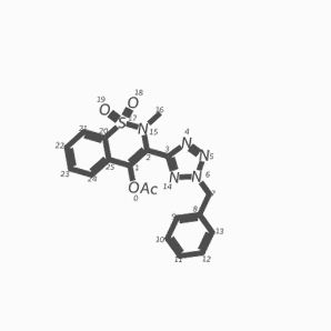 CC(=O)OC1=C(c2nnn(Cc3ccccc3)n2)N(C)S(=O)(=O)c2ccccc21